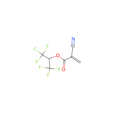 C=C(C#N)C(=O)OC(C(F)(F)F)C(F)(F)F